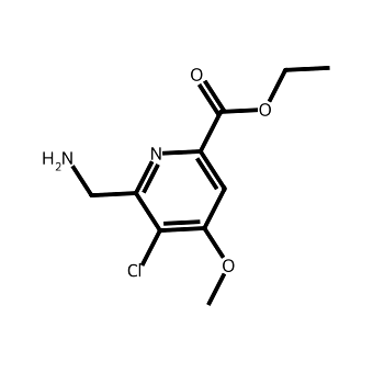 CCOC(=O)c1cc(OC)c(Cl)c(CN)n1